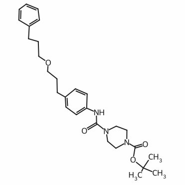 CC(C)(C)OC(=O)N1CCN(C(=O)Nc2ccc(CCCOCCCc3ccccc3)cc2)CC1